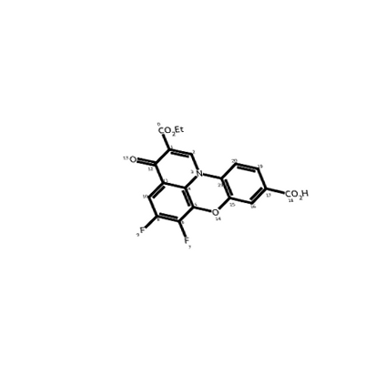 CCOC(=O)c1cn2c3c(c(F)c(F)cc3c1=O)Oc1cc(C(=O)O)ccc1-2